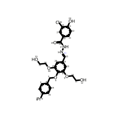 CC(C)c1ccc(COc2c(OCCO)cc(/C=N/NC(=O)c3ccc(O)c(Cl)c3)cc2OCCO)cc1